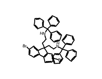 Brc1ccc2c(c1)C(CCNC(c1ccccc1)(c1ccccc1)c1ccccc1)(CCNC(c1ccccc1)(c1ccccc1)c1ccccc1)c1cc(Br)ccc1-2